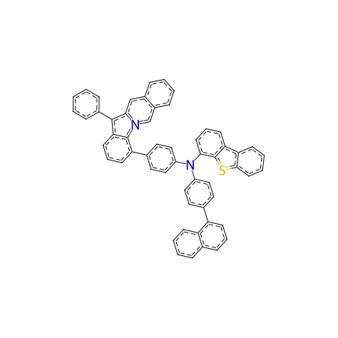 c1ccc(-c2c3cccc(-c4ccc(N(c5ccc(-c6cccc7ccccc67)cc5)c5cccc6c5sc5ccccc56)cc4)c3n3cc4ccccc4cc23)cc1